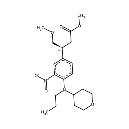 CCCN(c1ccc([C@@H](COC)CC(=O)OC)cc1[N+](=O)[O-])C1CCOCC1